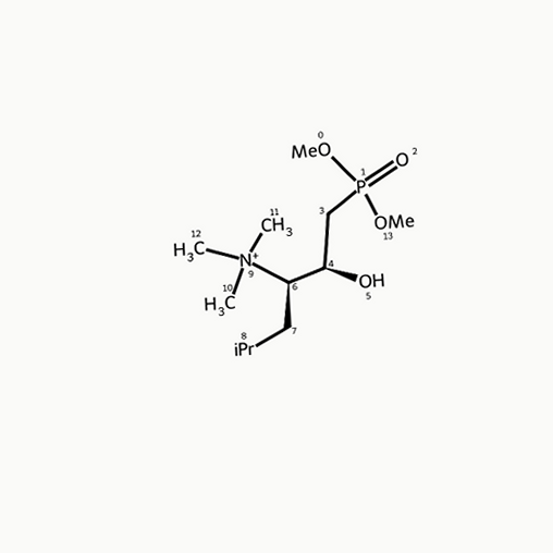 COP(=O)(C[C@@H](O)[C@@H](CC(C)C)[N+](C)(C)C)OC